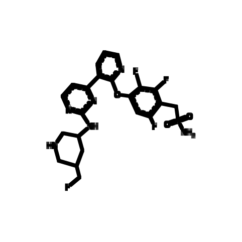 NS(=O)(=O)Cc1c(F)cc(Oc2ncccc2-c2ccnc(NC3CNCC(CF)C3)n2)c(F)c1F